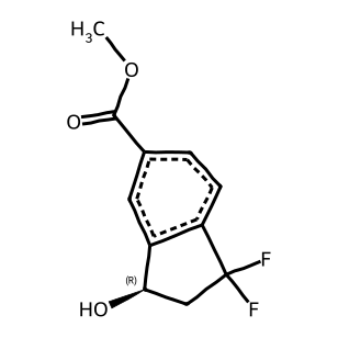 COC(=O)c1ccc2c(c1)[C@H](O)CC2(F)F